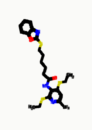 CCSc1cc(C)nc(SCC)c1NC(=O)CCCCCSc1nc2ccccc2o1